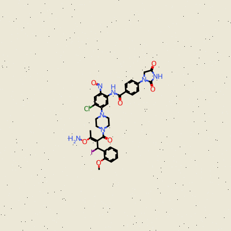 COc1ccccc1C(I)/C(C(=O)N1CCN(c2cc(NC(=O)c3ccc(N4CC(=O)NC4=O)cc3)c(N=O)cc2Cl)CC1)=C(/C)ON